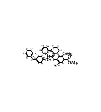 COC(=O)c1cc(Br)c(CC(=O)N(Nc2ccc(Cc3ccccc3)cc2)c2ccccc2N2CCCCC2)cc1OC